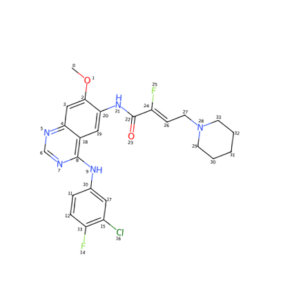 COc1cc2ncnc(Nc3ccc(F)c(Cl)c3)c2cc1NC(=O)C(F)=CCN1CCCCC1